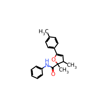 Cc1ccc(C2=CC(C)C(C)(C(=O)Nc3ccccc3)O2)cc1